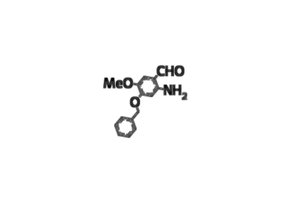 COc1cc(C=O)c(N)cc1OCc1ccccc1